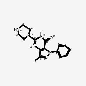 Cc1nn(-c2ccccc2)c2c(=O)[nH]c(N3CCNCC3)nc12